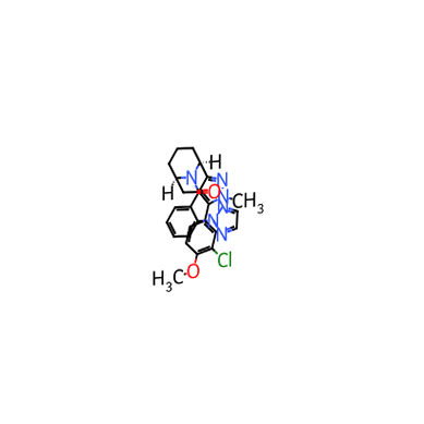 COc1ccc(-c2c3c(nn2C)[C@@H]2CCC[C@H](C3)N2C(=O)c2ccccc2-n2nccn2)cc1Cl